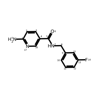 Nc1ccc(C(=O)NCc2cccc(F)c2)cn1